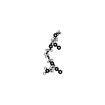 O=C(CCNC(=O)c1ccc(CN(C(=O)Nc2nc3cc(OC(F)(F)F)ccc3s2)c2ccc(C3=CCCCC3)cc2)cc1)OC(=O)CCNC(=O)c1ccc(CN(C(=O)Nc2nc3cc(Cl)cc(Cl)c3s2)c2ccc(C3=CCCCC3)cc2)cc1